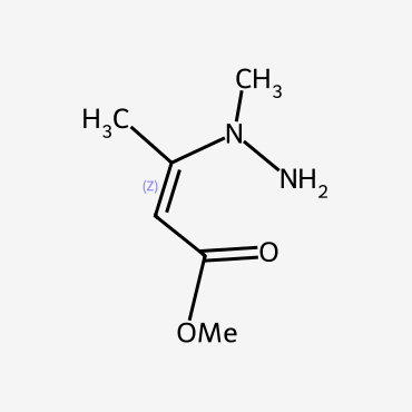 COC(=O)/C=C(/C)N(C)N